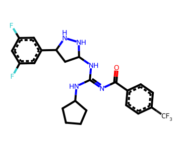 O=C(/N=C(/NC1CCCC1)NC1CC(c2cc(F)cc(F)c2)NN1)c1ccc(C(F)(F)F)cc1